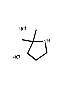 CC1(C)CCCN1.Cl.Cl